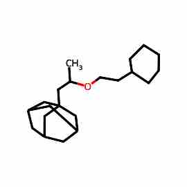 CC(CC12CC3CC(CC(C3)C1)C2)OCCC1CCCCC1